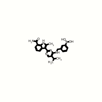 Cc1[nH]c2c(C(N)=O)cccc2c1-c1ncc(C(C)C)c(NCc2cccc(B(O)O)c2)n1